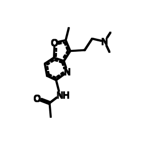 CC(=O)Nc1ccc2oc(C)c(CCN(C)C)c2n1